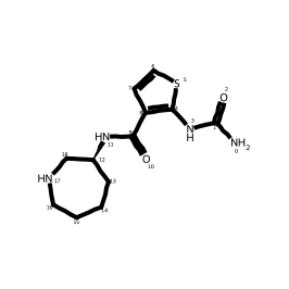 NC(=O)Nc1sccc1C(=O)N[C@H]1CCCCNC1